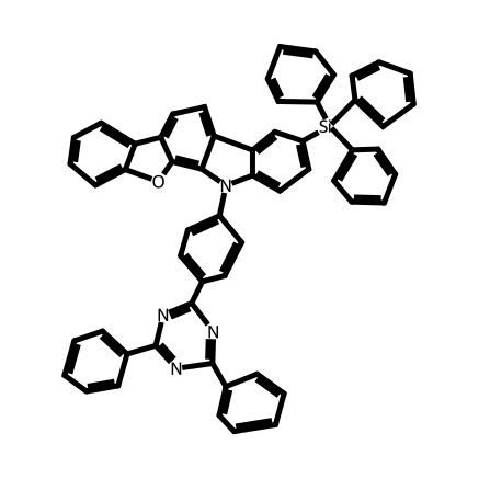 c1ccc(-c2nc(-c3ccccc3)nc(-c3ccc(-n4c5ccc([Si](c6ccccc6)(c6ccccc6)c6ccccc6)cc5c5ccc6c7ccccc7oc6c54)cc3)n2)cc1